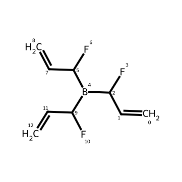 C=CC(F)B(C(F)C=C)C(F)C=C